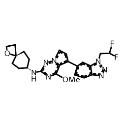 COc1nc(N[C@H]2CC[C@@]3(CCO3)CC2)nn2ccc(-c3ccc4nnn(CC(F)F)c4c3)c12